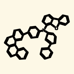 c1ccc(-c2cccc(N(c3ccc(-c4ccc5ccc6ccc7ccccc7c6c5c4)cc3)c3cccc4c3oc3ccccc34)c2)cc1